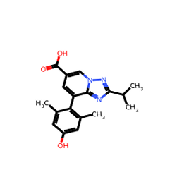 Cc1cc(O)cc(C)c1-c1cc(C(=O)O)cn2nc(C(C)C)nc12